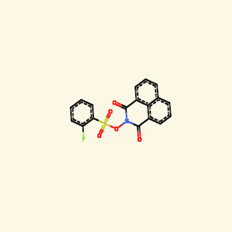 O=C1c2cccc3cccc(c23)C(=O)N1OS(=O)(=O)c1ccccc1F